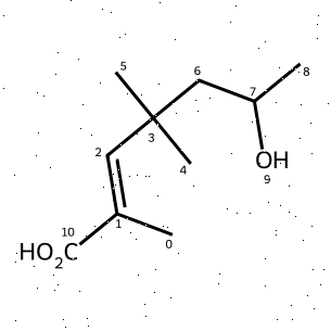 CC(=CC(C)(C)CC(C)O)C(=O)O